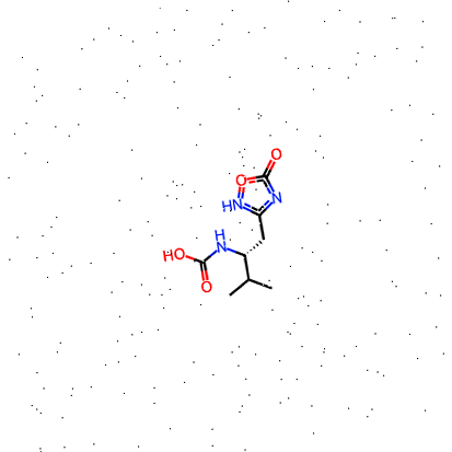 CC(C)[C@@H](Cc1nc(=O)o[nH]1)NC(=O)O